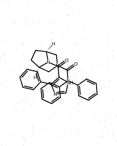 O=C(N1C[C@H]2CC[C@@H](C1)N2C(=O)c1[nH]cnc1-c1ccccc1)N(c1ccccc1)c1ccccc1